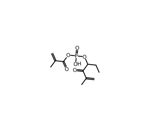 C=C(C)C(=O)OP(=O)(O)OC(CC)C(=O)C(=C)C